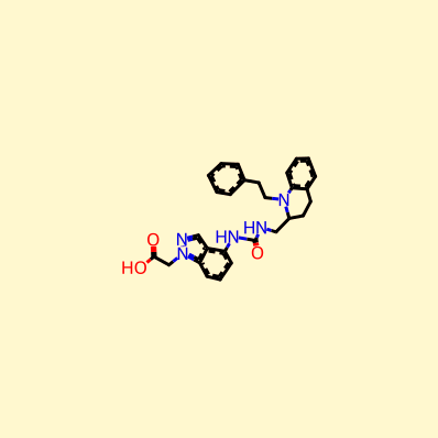 O=C(O)Cn1ncc2c(NC(=O)NCC3CCc4ccccc4N3CCc3ccccc3)cccc21